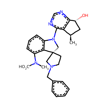 C[C@@H]1C[C@@H](O)c2ncnc(N3C[C@@]4(CCN(Cc5ccccc5)C4)c4c(N(C)C(=O)O)cccc43)c21